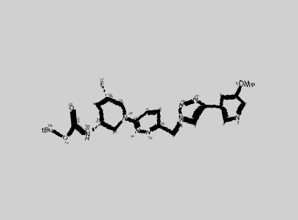 COc1cncc(-c2cn(Cc3ccc(N4C[C@@H](F)C[C@@H](NC(=O)OC(C)(C)C)C4)nn3)nn2)c1